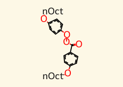 CCCCCCCCOc1ccc(OOC(=O)c2ccc(OCCCCCCCC)cc2)cc1